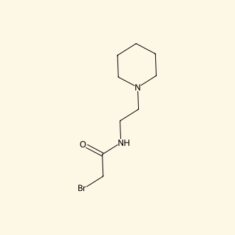 O=C(CBr)NCCN1CCCCC1